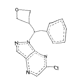 Clc1cnc2cnn(C(c3ccccc3)C3COC3)c2n1